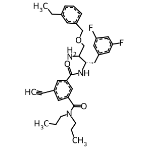 C#Cc1cc(C(=O)N[C@@H](Cc2cc(F)cc(F)c2)C(N)COCc2cccc(CC)c2)cc(C(=O)N(CCC)CCC)c1